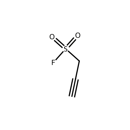 C#CCS(=O)(=O)F